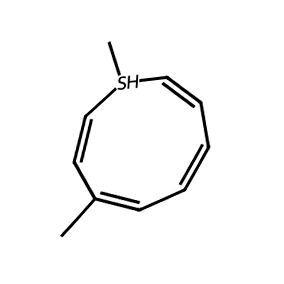 CC1=CC=CC=C[SH](C)C=C1